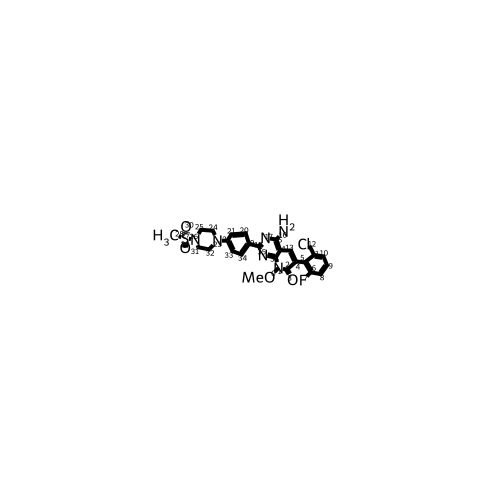 COn1c(=O)c(-c2c(F)cccc2Cl)cc2c(N)nc(-c3ccc(N4CCN(S(C)(=O)=O)CC4)cc3)nc21